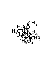 CCO[Si](C)(CN(C)[Si](C(C)C)(C(C)C)C(C)C)OCC